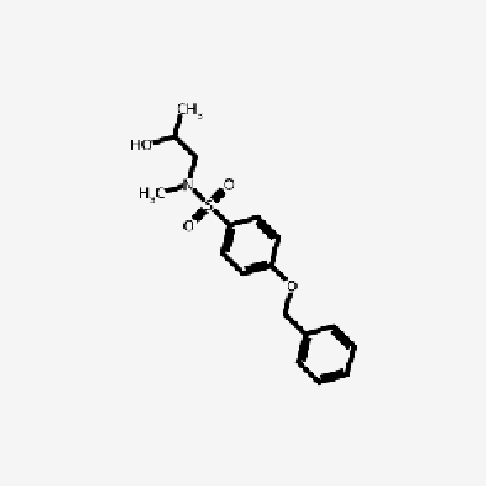 CC(O)CN(C)S(=O)(=O)c1ccc(OCc2ccccc2)cc1